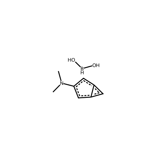 CN(C)c1cc2cc-2c1.OBO